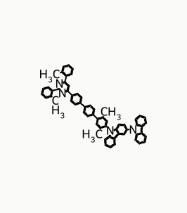 Cc1cc(-n2c3ccccc3c3cc(-n4c5ccccc5c5ccccc54)ccc32)c(C)cc1-c1ccc(-c2ccc(-c3cc(-c4ccccc4C)nc(-c4ccccc4C)n3)cc2)cc1